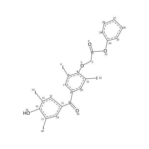 O=C(COc1c(I)cc(C(=O)c2cc(I)c(O)c(I)c2)cc1I)Oc1ccccc1